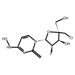 C=C1N=C(NO)C=CN1[C@@H]1O[C@@](CO)(CCl)[C@@H](O)[C@H]1F